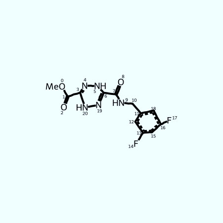 COC(=O)C1=NNC(C(=O)NCc2cc(F)cc(F)c2)=NN1